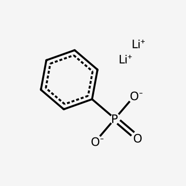 O=P([O-])([O-])c1ccccc1.[Li+].[Li+]